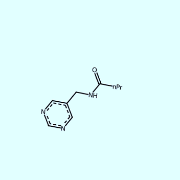 CCCC(=O)NCc1cncnc1